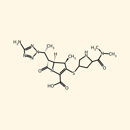 C[C@H]([C@H]1C(=O)N2C(C(=O)O)=C(SC3CNC(C(=O)N(C)C)C3)[C@H](C)[C@H]12)n1nnc(N)n1